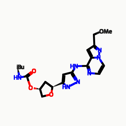 CC[C@H](C)NC(=O)O[C@H]1CO[C@@H](c2cc(Nc3nccn4nc(COC)cc34)n[nH]2)C1